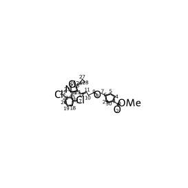 COC(=O)c1ccc(COCC/C=C/c2c(-c3c(Cl)cccc3Cl)noc2C2CC2)cc1